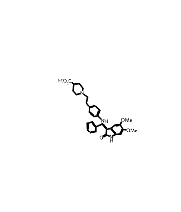 CCOC(=O)C1CCN(CCc2ccc(NC(=C3C(=O)Nc4cc(OC)c(OC)cc43)c3ccccc3)cc2)CC1